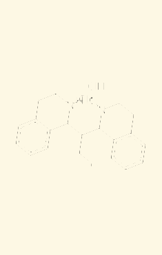 CCC(C1c2ccccc2CCN1C)C1c2ccccc2CCN1C.Cl